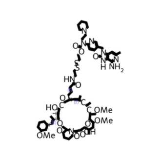 COCC1CC(C)C/C(C)=C\[C@H](C/C=C/C(=O)NCCSSCCOC(=O)N(CCN2CCCCC2)c2ccc(Cn3c(=O)[nH]c4c(N)nc(C)cc43)cn2)C(=O)CC(O)[C@@H](C)[C@@H](/C(C)=C/[C@@H]2CCCC(OC)C2)OC(=O)C2CCCCN2C(=O)C(=O)C2(O)OC1C(OC)CC2C